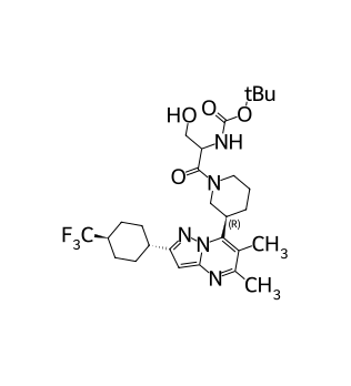 Cc1nc2cc([C@H]3CC[C@H](C(F)(F)F)CC3)nn2c([C@@H]2CCCN(C(=O)C(CO)NC(=O)OC(C)(C)C)C2)c1C